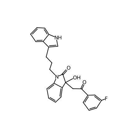 O=C(CC1(O)C(=O)N(CCCc2c[nH]c3ccccc23)c2ccccc21)c1cccc(F)c1